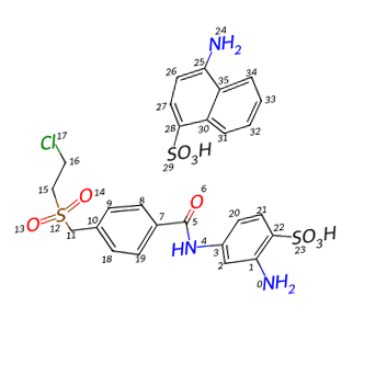 Nc1cc(NC(=O)c2ccc(CS(=O)(=O)CCCl)cc2)ccc1S(=O)(=O)O.Nc1ccc(S(=O)(=O)O)c2ccccc12